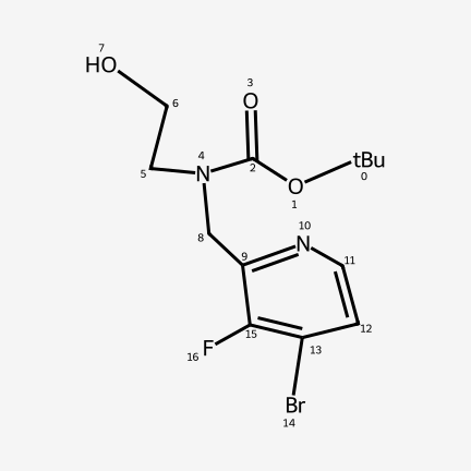 CC(C)(C)OC(=O)N(CCO)Cc1nccc(Br)c1F